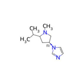 CC(C)C1C[C@H](n2ccnc2)CN1C